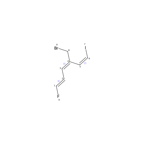 F/C=C/C=C(\C=C/I)CBr